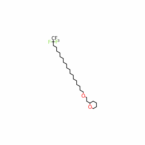 FC(F)(F)C(F)(F)CCCCCCCCCCCCCCCCCCOCCC1CCCCO1